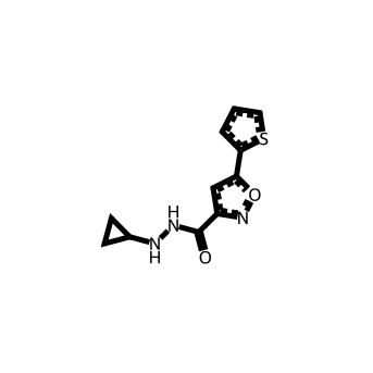 O=C(NNC1CC1)c1cc(-c2cccs2)on1